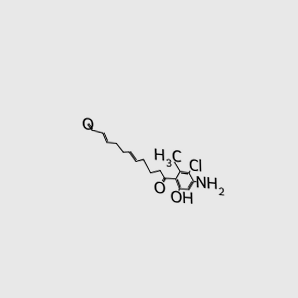 CCc1c(Cl)c(N)cc(O)c1C(=O)CCC/C=C/CC/C=C/C=O